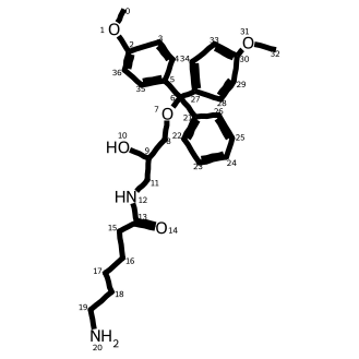 COc1ccc(C(OCC(O)CNC(=O)CCCCCN)(c2ccccc2)c2ccc(OC)cc2)cc1